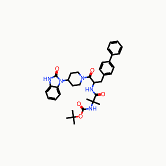 CC(C)(C)OC(=O)NC(C)(C)C(=O)NC(Cc1ccc(-c2ccccc2)cc1)C(=O)N1CCC(n2c(=O)[nH]c3ccccc32)CC1